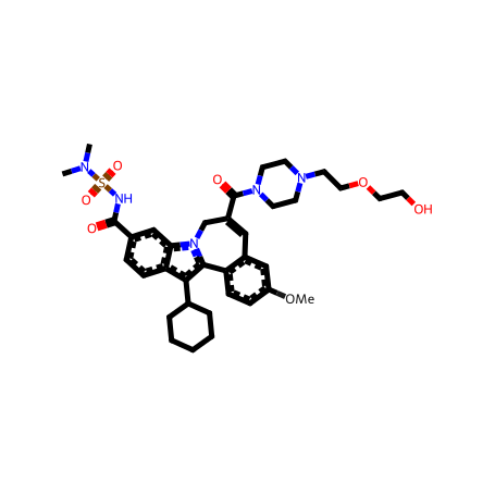 COc1ccc2c(c1)C=C(C(=O)N1CCN(CCOCCO)CC1)Cn1c-2c(C2CCCCC2)c2ccc(C(=O)NS(=O)(=O)N(C)C)cc21